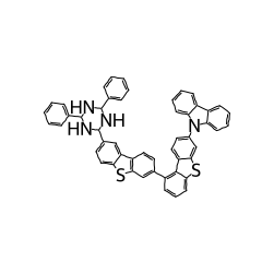 c1ccc(C2NC(c3ccccc3)NC(c3ccc4sc5cc(-c6cccc7sc8cc(-n9c%10ccccc%10c%10ccccc%109)ccc8c67)ccc5c4c3)N2)cc1